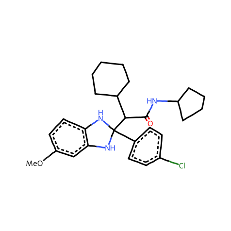 COc1ccc2c(c1)NC(c1ccc(Cl)cc1)(C(C(=O)NC1CCCC1)C1CCCCC1)N2